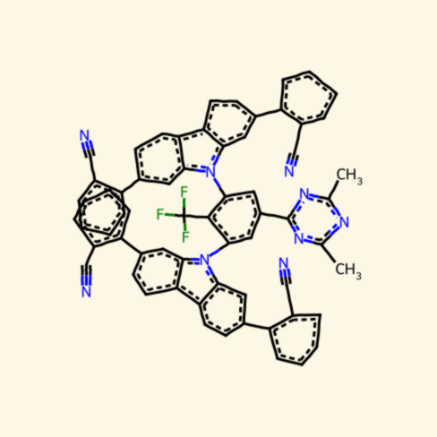 Cc1nc(C)nc(-c2cc(-n3c4cc(-c5ccccc5C#N)ccc4c4ccc(-c5ccccc5C#N)cc43)c(C(F)(F)F)c(-n3c4cc(-c5ccccc5C#N)ccc4c4ccc(-c5ccccc5C#N)cc43)c2)n1